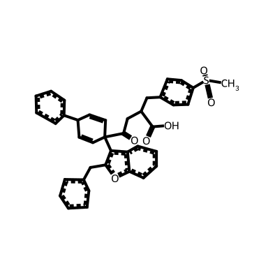 CS(=O)(=O)c1ccc(CC(CC(=O)C2(c3c(Cc4ccccc4)oc4ccccc34)C=CC(c3ccccc3)C=C2)C(=O)O)cc1